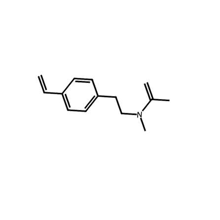 C=Cc1ccc(CCN(C)C(=C)C)cc1